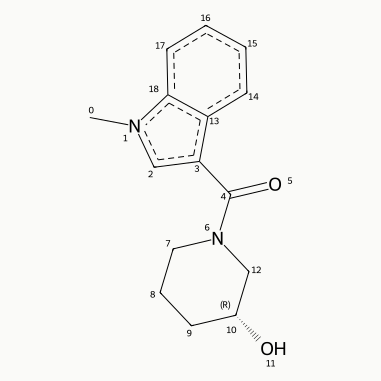 Cn1cc(C(=O)N2CCC[C@@H](O)C2)c2ccccc21